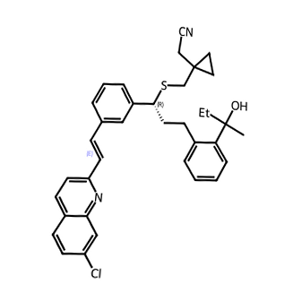 CCC(C)(O)c1ccccc1CC[C@@H](SCC1(CC#N)CC1)c1cccc(/C=C/c2ccc3ccc(Cl)cc3n2)c1